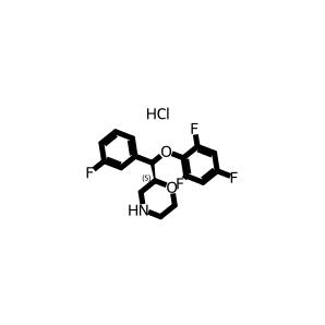 Cl.Fc1cccc(C(Oc2c(F)cc(F)cc2F)[C@@H]2CNCCO2)c1